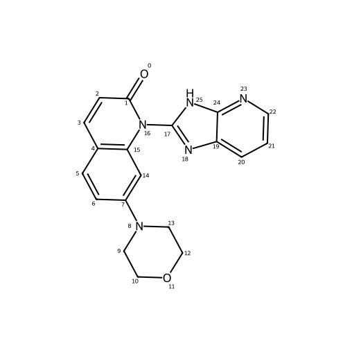 O=c1ccc2ccc(N3CCOCC3)cc2n1-c1nc2cccnc2[nH]1